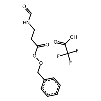 O=C(O)C(F)(F)F.O=CNCCC(=O)OOCc1ccccc1